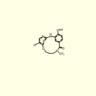 COc1ccc2cc1Nc1ncc(Cl)c(n1)OCCCN(C)C2=O